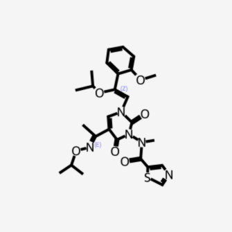 COc1ccccc1/C(=C/n1cc(/C(C)=N/OC(C)C)c(=O)n(N(C)C(=O)c2cncs2)c1=O)OC(C)C